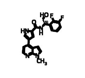 Cn1ccc2c(-c3c[nH]c(C(=O)N[C@H](CO)c4cccc(F)c4F)c3)ccnc21